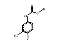 CC(C)(C)OC(=O)Nc1ccc(F)c(C(F)(F)F)c1